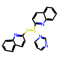 c1ccc2nc(SSc3ccc4ccccc4n3)ccc2c1.c1cncnc1